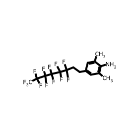 Cc1cc(CCC(F)(F)C(F)(F)C(F)(F)C(F)(F)C(F)(F)C(F)(F)F)cc(C)c1N